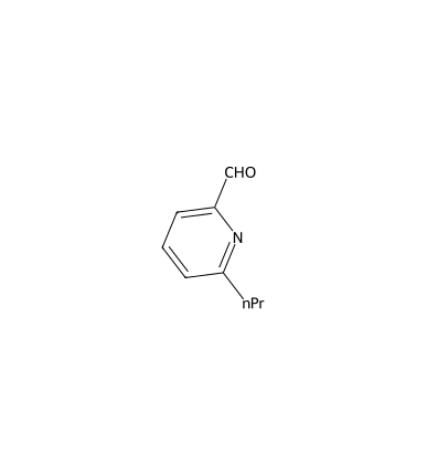 CCCc1cccc(C=O)n1